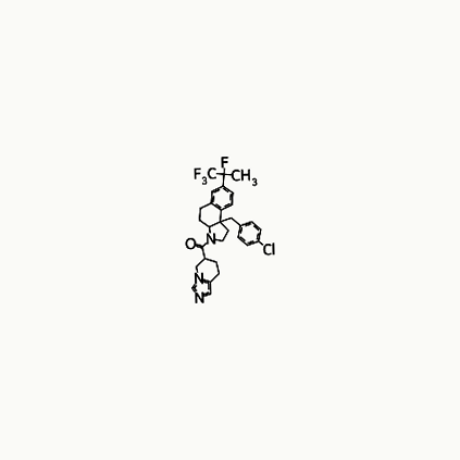 CC(F)(c1ccc2c(c1)CCC1N(C(=O)C3CCc4cncn4C3)CCC21Cc1ccc(Cl)cc1)C(F)(F)F